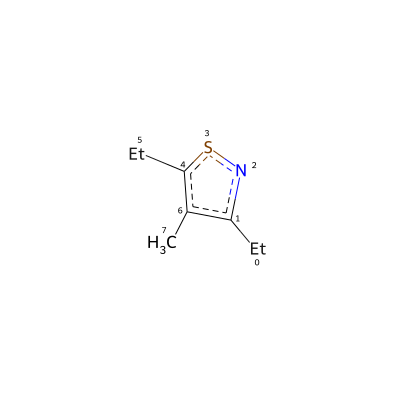 CCc1nsc(CC)c1C